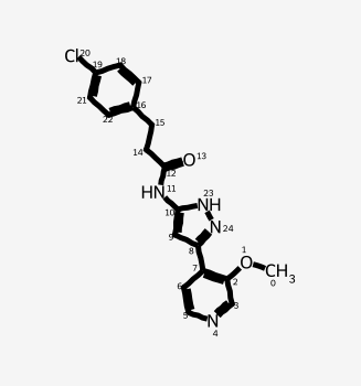 COc1cnccc1-c1cc(NC(=O)CCc2ccc(Cl)cc2)[nH]n1